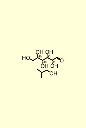 CC(C)CO.O=C[C@H](O)[C@@H](O)[C@H](O)[C@H](O)CO